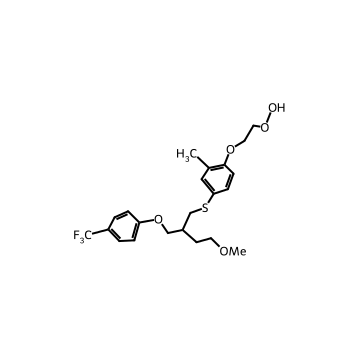 COCCC(COc1ccc(C(F)(F)F)cc1)CSc1ccc(OCCOO)c(C)c1